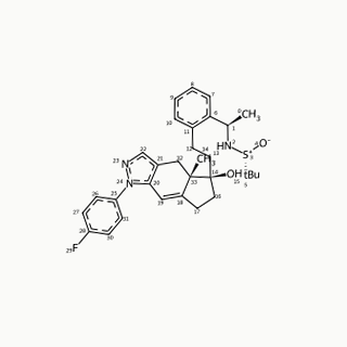 C[C@@H](N[S@+]([O-])C(C)(C)C)c1ccccc1CC[C@]1(O)CCC2=Cc3c(cnn3-c3ccc(F)cc3)C[C@@]21C